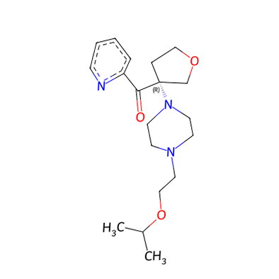 CC(C)OCCN1CCN([C@]2(C(=O)c3ccccn3)CCOC2)CC1